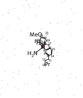 [2H]C1([2H])OC(N)=NC12c1cc(CCC(C)C)ccc1C[C@@]21C[C@@H](C)[C@H](OC)[C@@H](C)C1